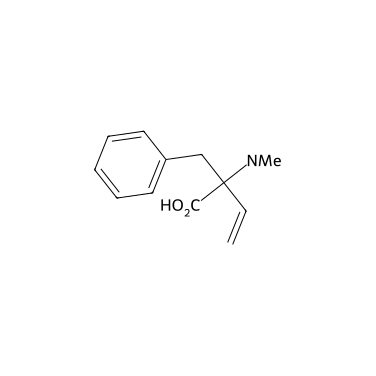 C=CC(Cc1ccccc1)(NC)C(=O)O